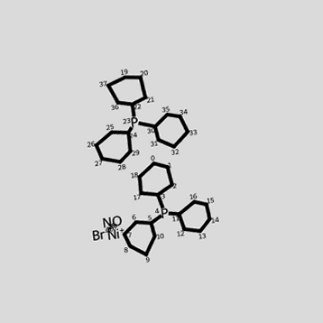 C1CCC(P(C2CCCCC2)C2CCCCC2)CC1.C1CCC(P(C2CCCCC2)C2CCCCC2)CC1.O=[N][Ni+].[Br-]